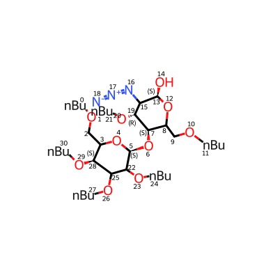 CCCCOCC1O[C@@H](O[C@@H]2C(COCCCC)O[C@H](O)C(N=[N+]=[N-])[C@H]2OCCCC)C(OCCCC)C(OCCCC)[C@H]1OCCCC